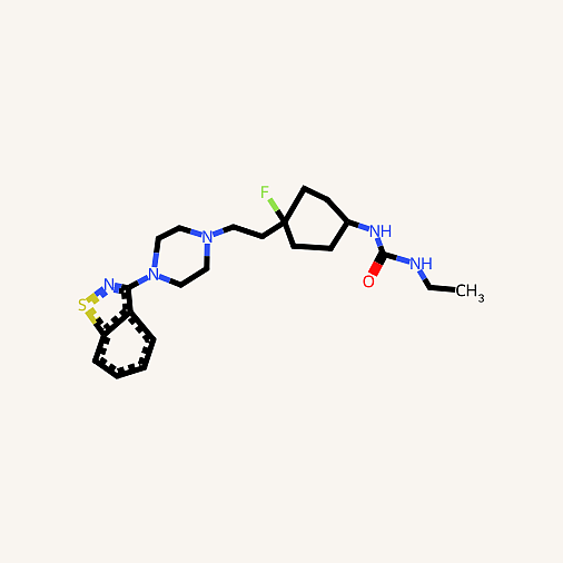 CCNC(=O)NC1CCC(F)(CCN2CCN(c3nsc4ccccc34)CC2)CC1